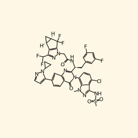 Cn1nc(NS(C)(=O)=O)c2c(Cl)ccc(-n3c([C@H](Cc4cc(F)cc(F)c4)NC(=O)Cn4nc(C(F)F)c5c4C(F)(F)[C@@H]4C[C@H]54)nc4cc(-c5ccnn5C5CC5)ccc4c3=O)c21